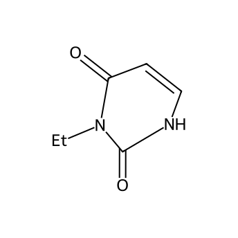 CCn1c(=O)cc[nH]c1=O